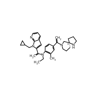 C=C(c1ccc(N(CC)C(=C)c2cc3cccnc3n2CC2CC2)c(C)c1)N1CCC[C@@]2(CCCN2)C1